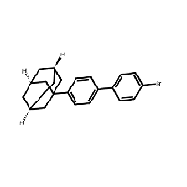 Brc1ccc(-c2ccc(C34C[C@H]5C[C@H](C3)C[C@@H](C4)C5)cc2)cc1